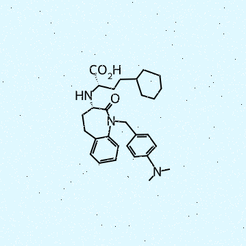 CN(C)c1ccc(CN2C(=O)[C@@H](N[C@@H](CCC3CCCCC3)C(=O)O)CCc3ccccc32)cc1